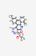 CN(C)/C=N\c1c(C(=O)C(C)(C)C)oc2nc(-c3ccccc3Cl)c(-c3ccc(Cl)cc3)cc12